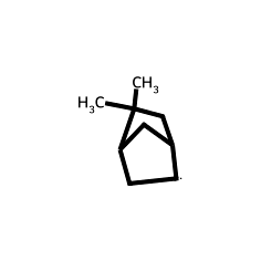 CC1(C)CC2[CH]CC1C2